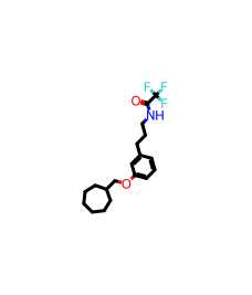 O=C(NCCCc1cccc(OCC2CCCCCC2)c1)C(F)(F)F